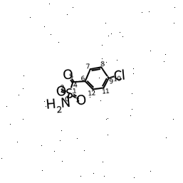 NS(=O)(=O)C(=O)c1ccc(Cl)cc1